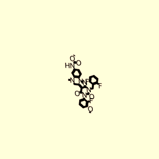 COC(=O)Nc1ccc2c(c1)N(C)Cc1c3c(=O)n(-c4cccc(OC)c4F)c(=O)n(Cc4c(F)cccc4F)c3nn1-2